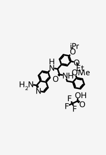 CCOc1cc(C(Nc2ccc3c(N)nccc3c2)C(=O)NCc2ccccc2OC)ccc1OC(C)C.O=C(O)C(F)(F)F